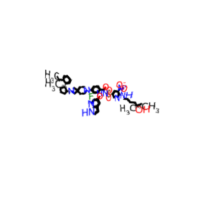 CC[C@@](C)(O)CCCCNc1ncc(S(=O)(=O)NC(=O)c2ccc(N3CCC4(CC3)CN([C@@H]3CCC[C@@H]3c3ccccc3C(C)C)C4)cc2Oc2cc3cc[nH]c3nc2F)cc1[N+](=O)[O-]